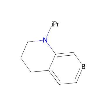 CC(C)N1CCCc2ccbcc21